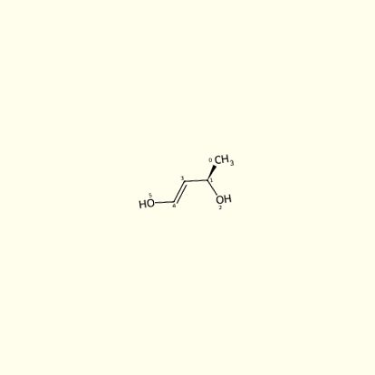 C[C@@H](O)C=CO